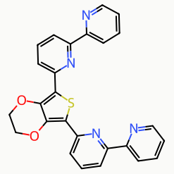 c1ccc(-c2cccc(-c3sc(-c4cccc(-c5ccccn5)n4)c4c3OCCO4)n2)nc1